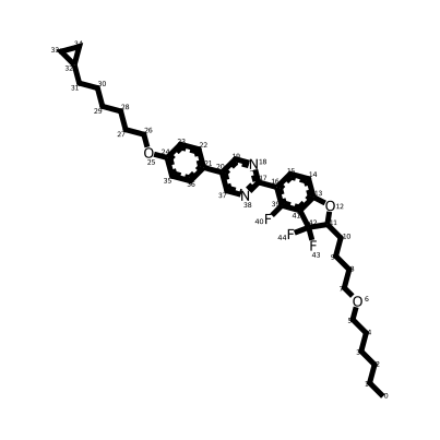 CCCCCCOCCCCC1Oc2ccc(-c3ncc(-c4ccc(OCCCCCCC5CC5)cc4)cn3)c(F)c2C1(F)F